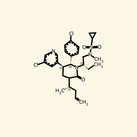 C=CC[C@H](C)C1C[C@@H](c2cncc(Cl)c2)[C@H](c2ccc(Cl)cc2)N([C@@H](CC)CN(C)S(=O)(=O)C2CC2)C1=O